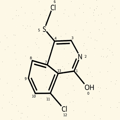 Oc1ncc(SCl)c2cccc(Cl)c12